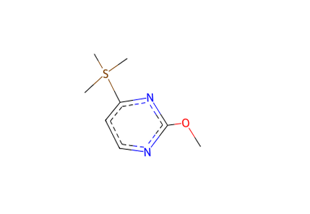 COc1nccc(S(C)(C)C)n1